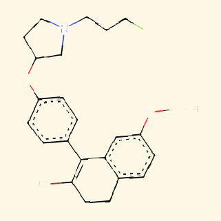 O=C(O)Oc1ccc2c(c1)C(c1ccc(OC3CCN(CCCF)C3)cc1)=C(Br)CC2